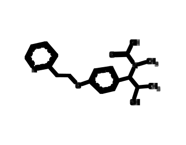 CC(O)C(c1ccc(OCCc2ccccn2)cc1)N(C)C(=O)O